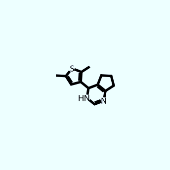 Cc1cc(C2NC=NC3=C2CCC3)c(C)s1